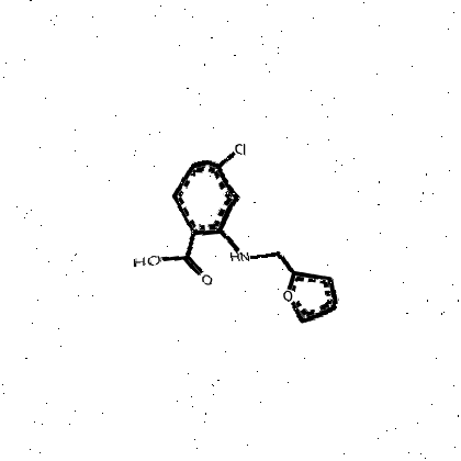 O=C(O)c1ccc(Cl)cc1NCc1ccco1